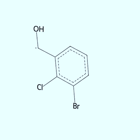 O[CH]c1cccc(Br)c1Cl